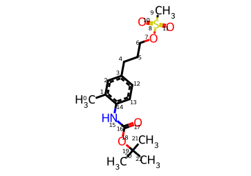 Cc1cc(CCCOS(C)(=O)=O)ccc1NC(=O)OC(C)(C)C